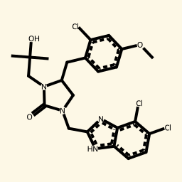 COc1ccc(CC2CN(Cc3nc4c(Cl)c(Cl)ccc4[nH]3)C(=O)N2CC(C)(C)O)c(Cl)c1